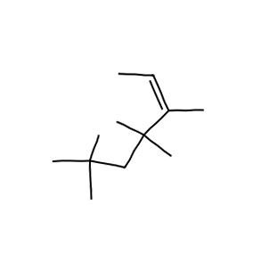 CC=C(C)C(C)(C)CC(C)(C)C